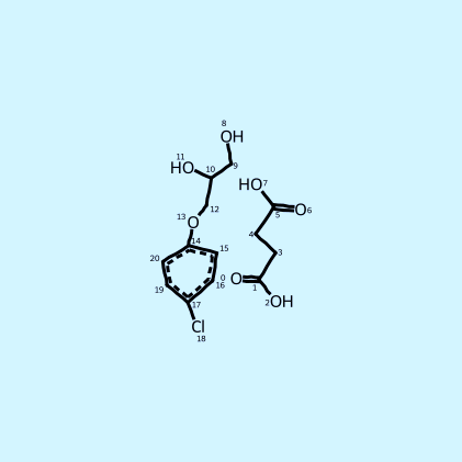 O=C(O)CCC(=O)O.OCC(O)COc1ccc(Cl)cc1